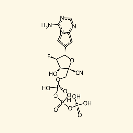 N#C[C@]1(COP(=O)(O)OP(=O)(O)OP(=O)(O)O)O[C@@H](c2cc3ncnc(N)n3c2)[C@H](F)[C@@H]1O